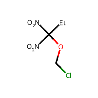 CCC(OCCl)([N+](=O)[O-])[N+](=O)[O-]